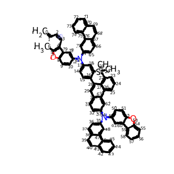 C=C/C=C\c1c(C)oc2ccc(N(c3ccc4c(c3)[Si](C)(C)c3cccc5c3c-4cc3ccc(N(c4ccc6ccc7ccccc7c6c4)c4ccc6oc7ccccc7c6c4)cc35)c3ccc4ccc5ccccc5c4c3)cc12